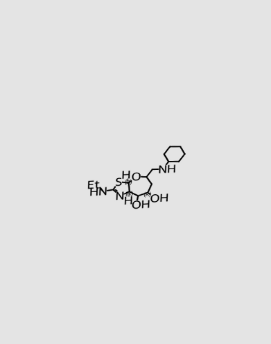 CCNC1=N[C@@H]2C(O)[C@H](O)CC(CNC3CCCCC3)O[C@@H]2S1